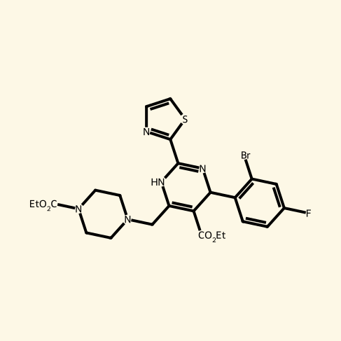 CCOC(=O)C1=C(CN2CCN(C(=O)OCC)CC2)NC(c2nccs2)=NC1c1ccc(F)cc1Br